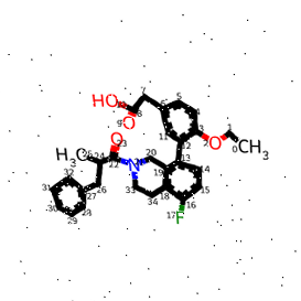 CCOc1ccc(CC(=O)O)cc1-c1ccc(F)c2c1CN(C(=O)C(C)Cc1ccccc1)CC2